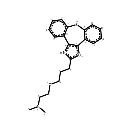 CN(C)CCOCCCc1nc2c(o1)-c1ccccc1Sc1ccccc1-2